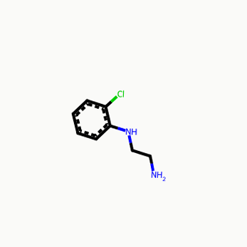 NCCNc1ccccc1Cl